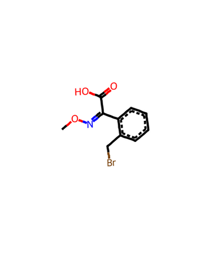 CON=C(C(=O)O)c1ccccc1CBr